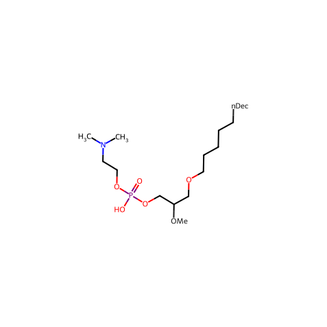 CCCCCCCCCCCCCCCOCC(COP(=O)(O)OCCN(C)C)OC